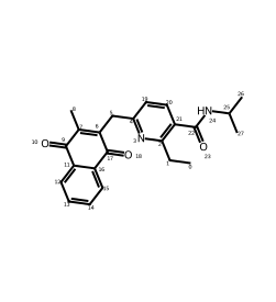 CCc1nc(CC2=C(C)C(=O)c3ccccc3C2=O)ccc1C(=O)NC(C)C